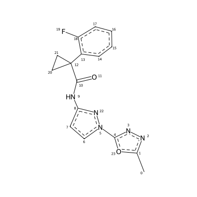 Cc1nnc(-n2ccc(NC(=O)C3(c4ccccc4F)CC3)n2)o1